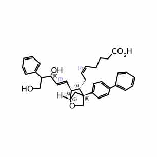 O=C(O)CCC/C=C\C[C@H]1[C@H](/C=C/[C@@H](O)C(CO)c2ccccc2)[C@@H]2C[C@@]1(c1ccc(-c3ccccc3)cc1)CO2